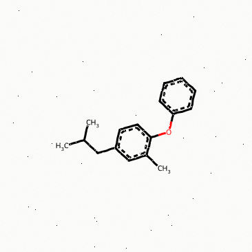 Cc1cc(CC(C)C)ccc1Oc1ccccc1